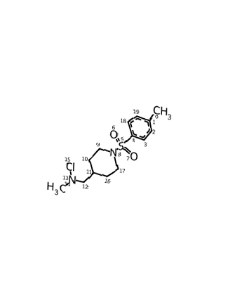 Cc1ccc(S(=O)(=O)N2CCC(CN(C)Cl)CC2)cc1